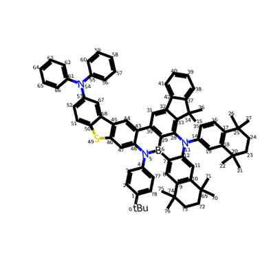 CC(C)(C)c1ccc(N2B3c4cc5c(cc4N(c4ccc6c(c4)C(C)(C)CCC6(C)C)c4c3c(cc3c4C(C)(C)c4ccccc4-3)-c3cc4c(cc32)sc2ccc(N(c3ccccc3)c3ccccc3)cc24)C(C)(C)CCC5(C)C)cc1